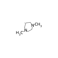 CN1C[CH]CN(C)CC1